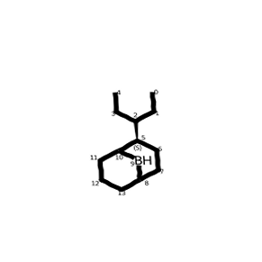 CCC(CC)[C@H]1CCC2BC1CCC2